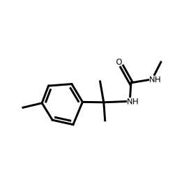 CNC(=O)NC(C)(C)c1ccc(C)cc1